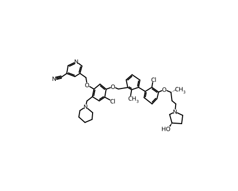 Cc1c(COc2cc(OCc3cncc(C#N)c3)c(CN3CCCCC3)cc2Cl)cccc1-c1cccc(O[C@H](C)CCN2CC[C@@H](O)C2)c1Cl